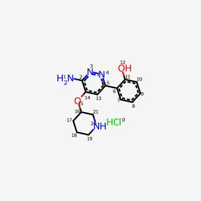 Cl.Nc1nnc(-c2ccccc2O)cc1OC1CCCNC1